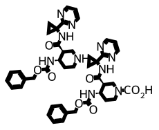 O=C(N[C@H]1CCN(C(=O)O)C[C@@H]1C(=O)NC1(c2ncccn2)CC1)OCc1ccccc1.O=C(N[C@H]1CCNC[C@@H]1C(=O)NC1(c2ncccn2)CC1)OCc1ccccc1